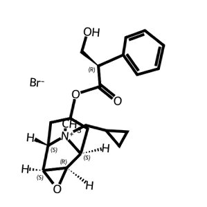 C[N+]1(CC2CC2)[C@H]2CC(OC(=O)[C@@H](CO)c3ccccc3)C[C@H]1[C@H]1O[C@H]12.[Br-]